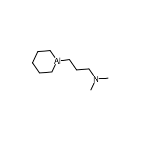 CN(C)CC[CH2][Al]1[CH2]CCC[CH2]1